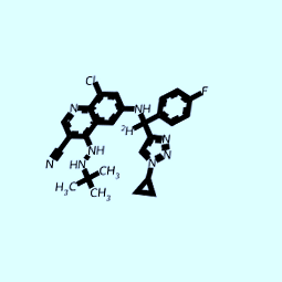 [2H]C(Nc1cc(Cl)c2ncc(C#N)c(NNC(C)(C)C)c2c1)(c1ccc(F)cc1)c1cn(C2CC2)nn1